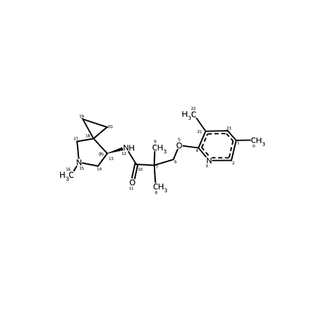 Cc1cnc(OCC(C)(C)C(=O)N[C@H]2CN(C)CC23CC3)c(C)c1